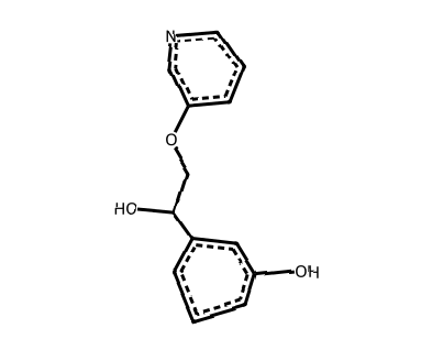 Oc1cccc(C(O)COc2cccnc2)c1